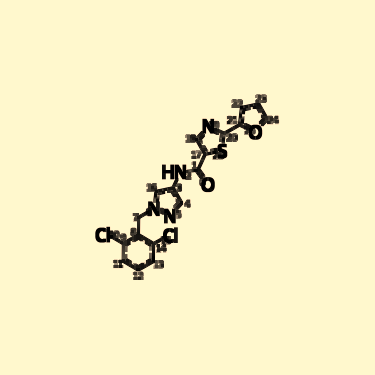 O=C(Nc1cnn(Cc2c(Cl)cccc2Cl)c1)c1cnc(-c2ccco2)s1